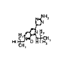 CC(C)(O)Cn1ccc2cc(-c3cnc(N)nc3)nc(NC(C)(C)C)c2c1=O